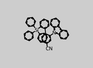 N#Cc1ccc(-c2ccccc2[Si](c2ccccc2)(c2ccccc2)c2ccccc2)c(-n2c3ccccc3c3ccccc32)c1